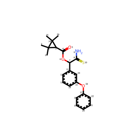 CC1(C)C(C(=O)OC(C(N)=S)c2cccc(Oc3ccccc3)c2)C1(C)C